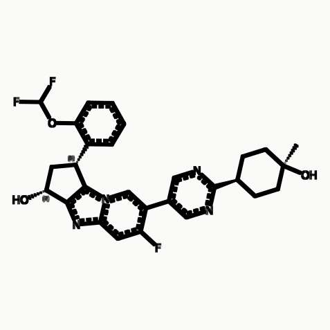 C[C@]1(O)CC[C@@H](c2ncc(-c3cn4c5c(nc4cc3F)[C@H](O)C[C@@H]5c3ccccc3OC(F)F)cn2)CC1